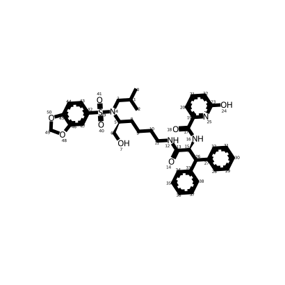 CC(C)CN([C@H](CO)CCCCNC(=O)[C@@H](NC(=O)c1cccc(O)n1)C(c1ccccc1)c1ccccc1)S(=O)(=O)c1ccc2c(c1)OCO2